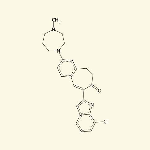 CN1CCCN(c2ccc3c(c2)CCC(=O)C(c2cn4cccc(Cl)c4n2)=C3)CC1